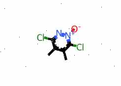 Cc1c(Cl)n[n+]([O-])c(Cl)c1C